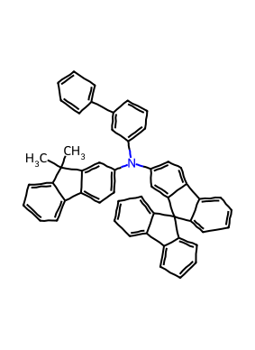 CC1(C)c2ccccc2-c2ccc(N(c3cccc(-c4ccccc4)c3)c3ccc4c(c3)C3(c5ccccc5-c5ccccc53)c3ccccc3-4)cc21